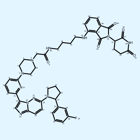 O=C(CN1CCN(c2cccc(-c3cnc4ccc(N5CCCC5c5cccc(F)c5)nn34)n2)CC1)NCCCCNc1cccc2c1C(=O)N(C1CCC(=O)NC1=O)C2=O